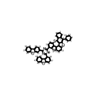 c1ccc(-c2c3ccccc3c3sc4ccc(-c5nc(-c6ccc7c(c6)oc6ccccc67)nc(-c6cccc7oc8ccccc8c67)n5)c5sc6ccc7oc2c3c7c6c45)cc1